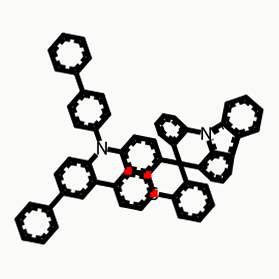 c1ccc(-c2ccc(N(c3ccc4c(c3)Sc3ccccc3C43c4ccccc4-n4c5ccccc5c5cccc3c54)c3ccc(-c4ccccc4)cc3-c3ccccc3)cc2)cc1